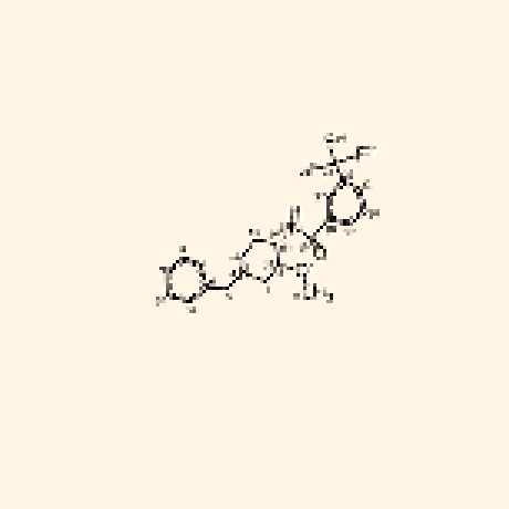 CO[C@H]1CN(Cc2ccccc2)CC[C@@H]1NC(=O)c1cccc(C(F)(F)F)c1